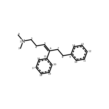 CN(C)CC/C=C(/CCc1ccccc1)c1ccccc1